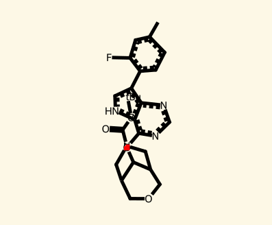 Cc1ccc(-c2c[nH]c3c(OC4C5COCC4CN(C(=O)OC(C)(C)C)C5)ncnc23)c(F)c1